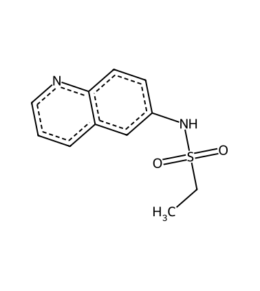 CCS(=O)(=O)Nc1ccc2ncccc2c1